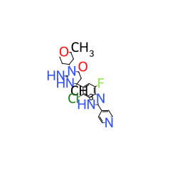 C[C@@H]1C[C@H](N2C(=N)N[C@](C)(c3cc(F)c4nc(-c5ccncc5)[nH]c4c3Cl)CC2=O)CCO1